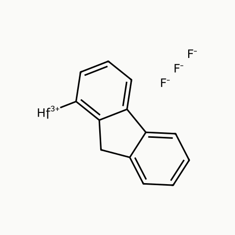 [F-].[F-].[F-].[Hf+3][c]1cccc2c1Cc1ccccc1-2